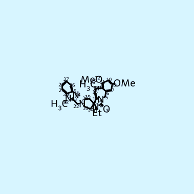 CCN1C(=O)N2Cc3cc(OC)cc(OC)c3[C@@H](C)C=C2C12CCN(Cc1nc3ccccc3n1C)CC2